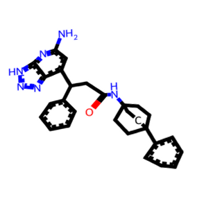 Nc1cc(C(CC(=O)NC23CCC(c4ccccc4)(CC2)CC3)c2ccccc2)c2nn[nH]c2n1